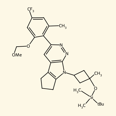 COCOc1cc(C(F)(F)F)cc(C)c1-c1cc2c3c(n(C4CC(C)(O[Si](C)(C)C(C)(C)C)C4)c2nn1)CCC3